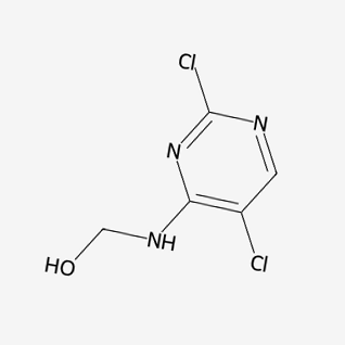 OCNc1nc(Cl)ncc1Cl